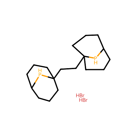 Br.Br.C1CC2CCCC(CCC34CCCC(CCC3)P4)(C1)P2